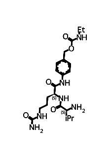 CCNC(=O)OCc1ccc(NC(=O)[C@H](CCCNC(N)=O)NC(=O)[C@@H](N)C(C)C)cc1